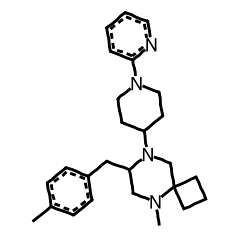 Cc1ccc(CC2CN(C)C3(CCC3)CN2C2CCN(c3ccccn3)CC2)cc1